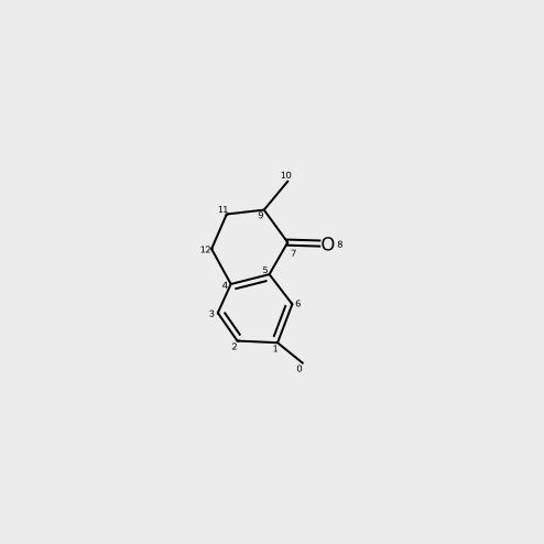 Cc1ccc2c(c1)C(=O)C(C)CC2